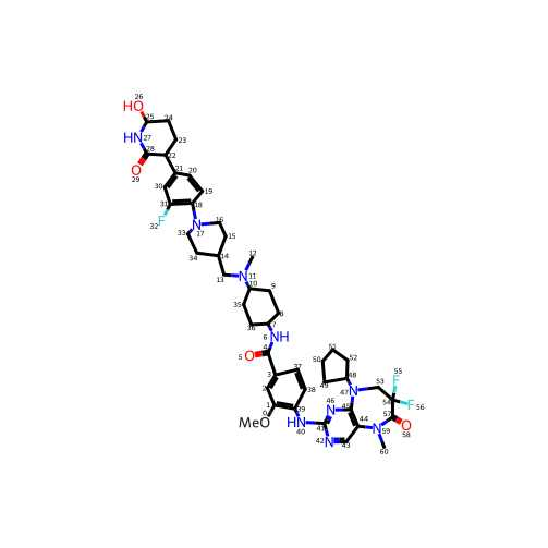 COc1cc(C(=O)NC2CCC(N(C)CC3CCN(c4ccc(C5CCC(O)NC5=O)cc4F)CC3)CC2)ccc1Nc1ncc2c(n1)N(C1CCCC1)CC(F)(F)C(=O)N2C